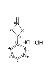 Cl.Cl.c1ncc(C2CNC2)cn1